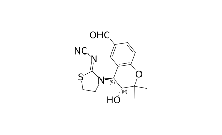 CC1(C)Oc2ccc(C=O)cc2[C@H](N2CCSC2=NC#N)[C@H]1O